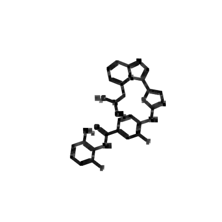 CN(C)Cc1cccc2ncc(-c3cnc(Nc4ccc(C(=O)Nc5c(N)cccc5F)cc4F)s3)n12